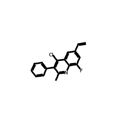 C=Cc1cc(F)c2nc(C)c(-c3ccccc3)c(Cl)c2c1